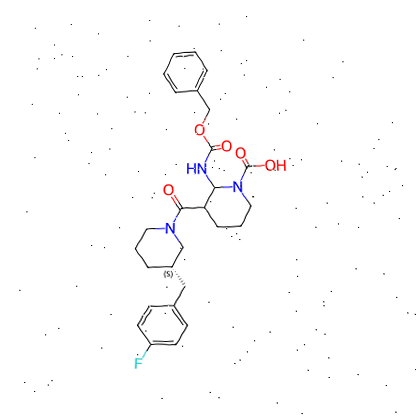 O=C(NC1C(C(=O)N2CCC[C@@H](Cc3ccc(F)cc3)C2)CCCN1C(=O)O)OCc1ccccc1